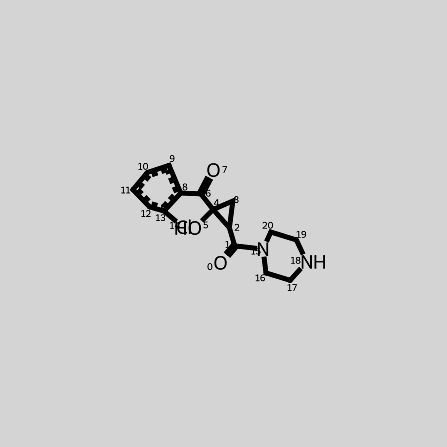 O=C(C1CC1(O)C(=O)c1ccccc1Cl)N1CCNCC1